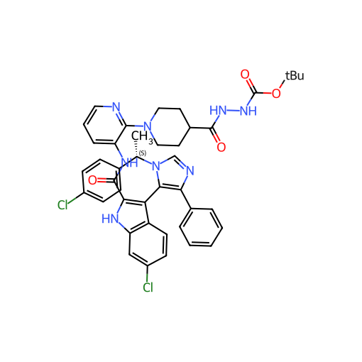 C[C@@H](c1ccc(Cl)cc1)n1cnc(-c2ccccc2)c1-c1c(C(=O)Nc2cccnc2N2CCC(C(=O)NNC(=O)OC(C)(C)C)CC2)[nH]c2cc(Cl)ccc12